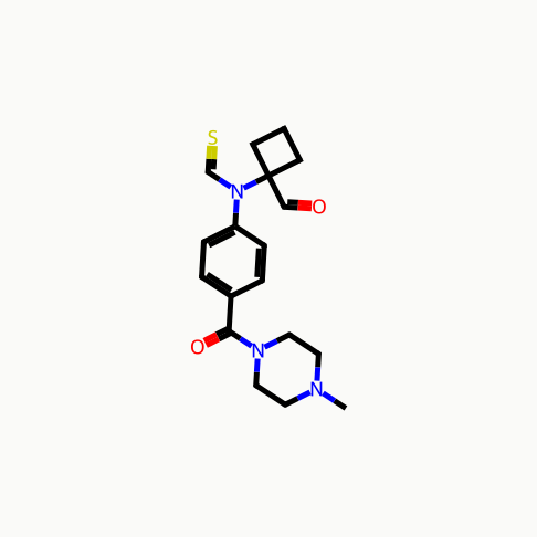 CN1CCN(C(=O)c2ccc(N(C=S)C3(C=O)CCC3)cc2)CC1